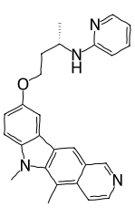 Cc1c2ccncc2cc2c3cc(OCC[C@H](C)Nc4ccccn4)ccc3n(C)c12